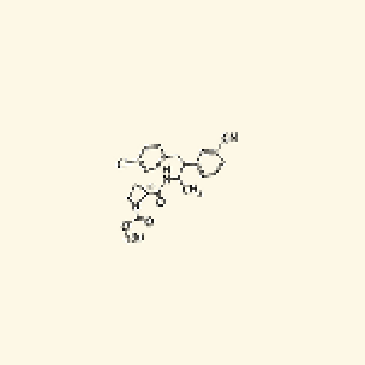 CCCCOC(=O)N1CC[C@H]1C(=O)NC(C)C(Cc1ccc(Cl)cc1)c1cccc(C#N)c1